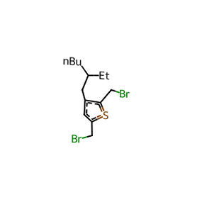 CCCCC(CC)Cc1cc(CBr)sc1CBr